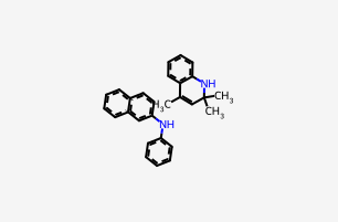 CC1=CC(C)(C)Nc2ccccc21.c1ccc(Nc2ccc3ccccc3c2)cc1